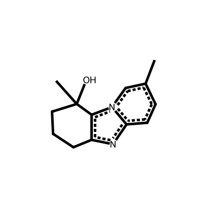 Cc1ccc2nc3c(n2c1)C(C)(O)CCC3